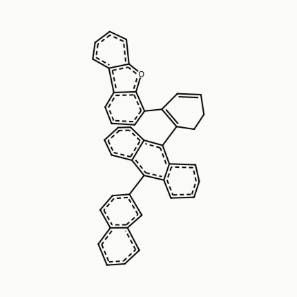 C1=CC(c2cccc3c2oc2ccccc23)=C(c2c3ccccc3c(-c3ccc4ccccc4c3)c3ccccc23)CC1